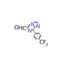 O=Cc1cn2ccnc2c(-c2ccc(C(F)(F)F)cc2)n1